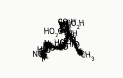 Cc1ccc(CCCC(=O)NCCOCC[C@H](NC(=O)CN2CCN(CC(=O)O)CCN(CC(=O)O)CCN(CC(=O)O)CC2)C(=O)NCCSC[C@@H](O)C(=O)N2CCC(CCCCOc3ccc4nccc(C(=O)NCC(=O)N5CC(F)(F)C[C@@H]5C#N)c4c3)CC2)cc1